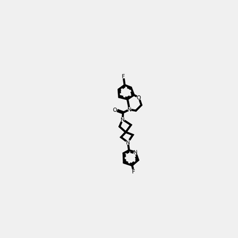 O=C(N1CC2(C1)CN(c1ccc(F)cn1)C2)N1CCOc2cc(F)ccc21